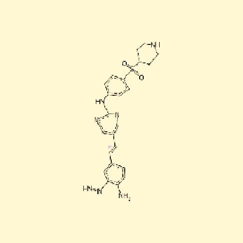 N=Nc1cc(/C=C/c2cnc(Nc3ccc(S(=O)(=O)C4CCNCC4)cc3)nc2)ccc1N